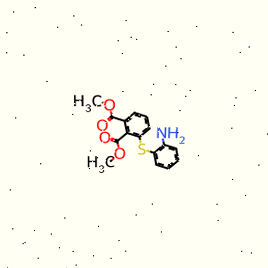 COC(=O)c1cccc(Sc2ccccc2N)c1C(=O)OC